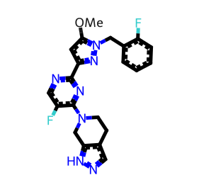 COc1cc(-c2ncc(F)c(N3CCc4cn[nH]c4C3)n2)nn1Cc1ccccc1F